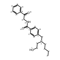 CCCCN(CCO)Cc1ccc(C(=O)NCC(=O)c2ccccc2)cc1